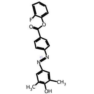 Cc1cc(/N=N/c2ccc(C(=O)Oc3ccccc3F)cc2)cc(C)c1O